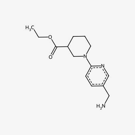 CCOC(=O)C1CCCN(c2ccc(CN)cn2)C1